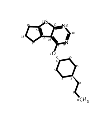 CCC[C@H]1CC[C@H](Oc2ncnc3sc4c(c23)CCC4)CC1